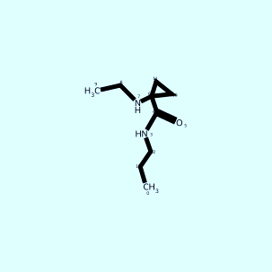 CCCNC(=O)C1(NCC)CC1